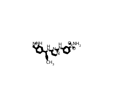 CC#CC(Nc1ccnc(Nc2cccc(S(N)(=O)=O)c2)n1)c1ccc2cn[nH]c2c1